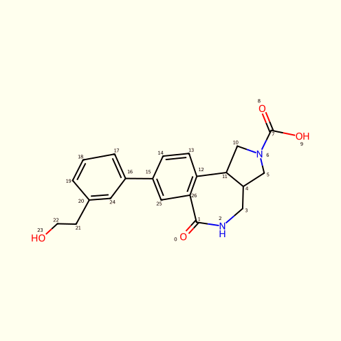 O=C1NCC2CN(C(=O)O)CC2c2ccc(-c3cccc(CCO)c3)cc21